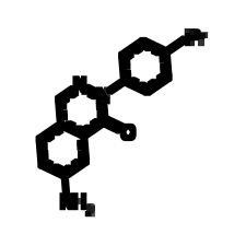 CC(C)c1ccc(-n2ncc3ccc(N)cc3c2=O)cc1